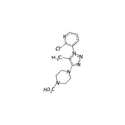 Cc1c(N2CCN(C(=O)O)CC2)nnn1-c1cccnc1Cl